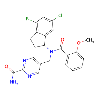 COc1ccccc1C(=O)N(Cc1cnc(C(N)=O)nc1)[C@@H]1CCc2c(F)cc(Cl)cc21